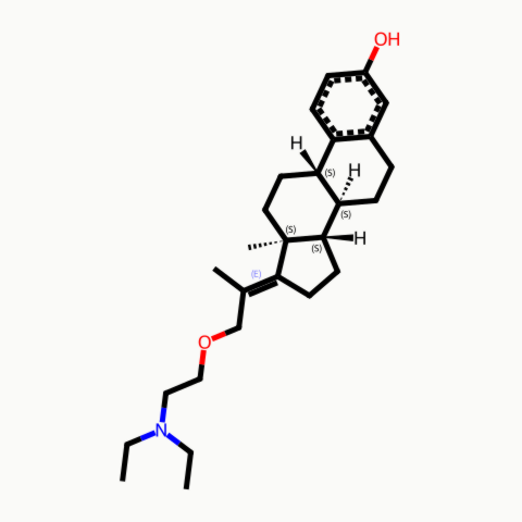 CCN(CC)CCOC/C(C)=C1\CC[C@H]2[C@@H]3CCc4cc(O)ccc4[C@H]3CC[C@]12C